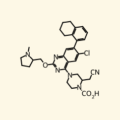 CN1CCCC1COc1nc(N2CCN(C(=O)O)C(CC#N)C2)c2cc(Cl)c(-c3cccc4c3CCCC4)cc2n1